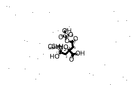 O=C(O)CC(O)(CC(=O)OS(=O)(=O)O)C(=O)O.[CaH2].[CaH2]